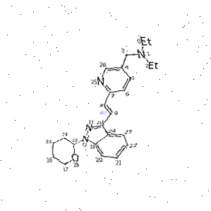 CCN(CC)Cc1ccc(/C=C/c2nn(C3CCCCO3)c3ccccc23)nc1